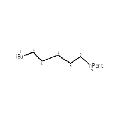 [CH2]CC([CH2])CCCCCCCCCC